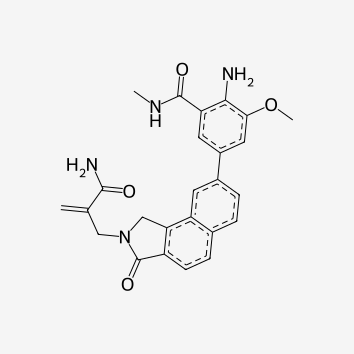 C=C(CN1Cc2c(ccc3ccc(-c4cc(OC)c(N)c(C(=O)NC)c4)cc23)C1=O)C(N)=O